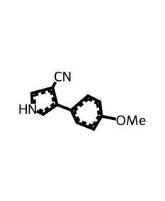 COc1ccc(-c2c[nH]cc2C#N)cc1